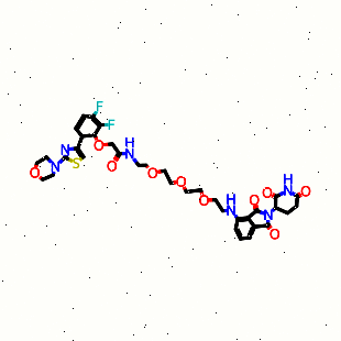 O=C(COC1C(F)=C(F)C=CC1c1csc(N2CCOCC2)n1)NCCOCCOCCOCCNc1cccc2c1C(=O)N(C1CCC(=O)NC1=O)C2=O